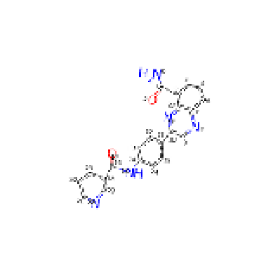 NC(=O)c1cccc2ncc(-c3ccc(NC(=O)c4cccnc4)cc3)nc12